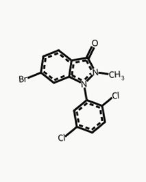 Cn1c(=O)c2ccc(Br)cc2n1-c1cc(Cl)ccc1Cl